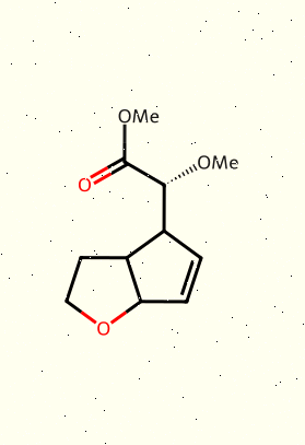 COC(=O)[C@H](OC)C1C=CC2OCCC21